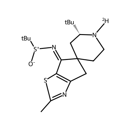 [2H]N1CCC2(Cc3nc(C)sc3/C2=N\[S+]([O-])C(C)(C)C)C[C@@H]1C(C)(C)C